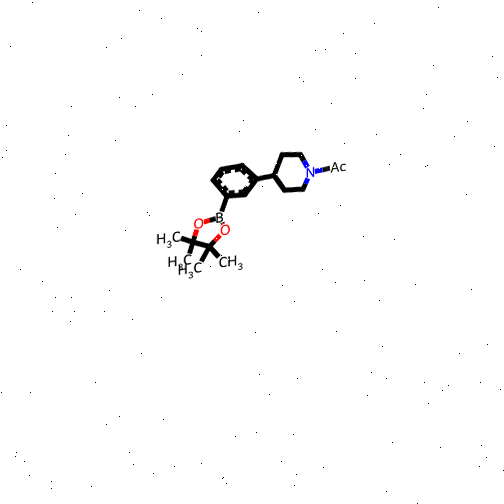 CC(=O)N1CCC(c2cccc(B3OC(C)(C)C(C)(C)O3)c2)CC1